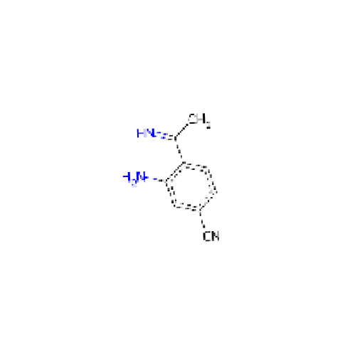 CC(=N)c1ccc(C#N)cc1N